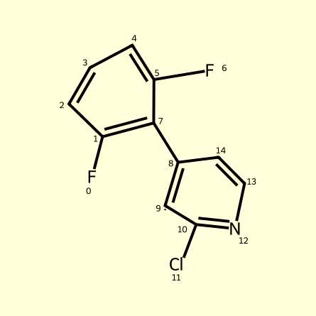 Fc1cccc(F)c1-c1[c]c(Cl)ncc1